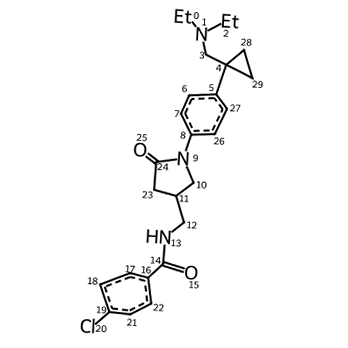 CCN(CC)CC1(c2ccc(N3CC(CNC(=O)c4ccc(Cl)cc4)CC3=O)cc2)CC1